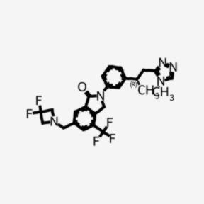 C[C@H](Cc1nncn1C)c1cccc(N2Cc3c(cc(CN4CC(F)(F)C4)cc3C(F)(F)F)C2=O)c1